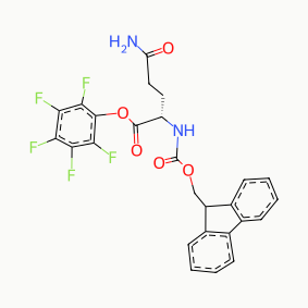 NC(=O)CC[C@H](NC(=O)OCC1c2ccccc2-c2ccccc21)C(=O)Oc1c(F)c(F)c(F)c(F)c1F